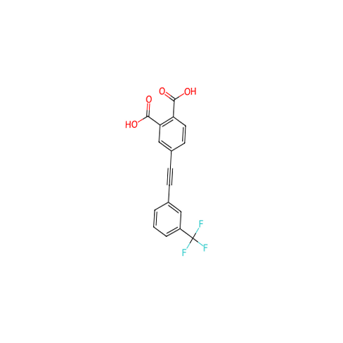 O=C(O)c1ccc(C#Cc2cccc(C(F)(F)F)c2)cc1C(=O)O